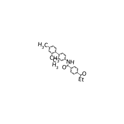 CCC(=O)c1ccc(C(=O)Nc2ccc(-c3ccc(C)cc3C)c(C)c2)cc1